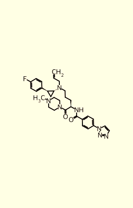 C=CCN(CCC[C@@H](NC(=O)c1ccc(-n2ccnn2)cc1)C(=O)N1CCN(C)CC1)[C@@H]1C[C@H]1c1ccc(F)cc1